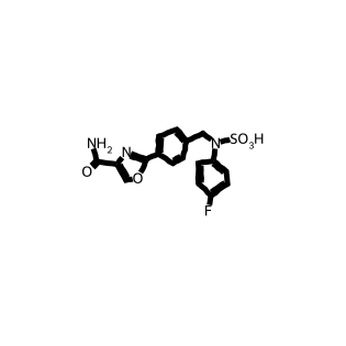 NC(=O)c1coc(-c2ccc(CN(c3ccc(F)cc3)S(=O)(=O)O)cc2)n1